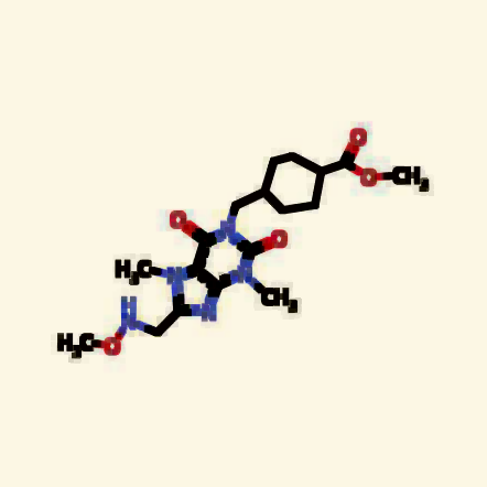 CONCc1nc2c(c(=O)n(CC3CCC(C(=O)OC)CC3)c(=O)n2C)n1C